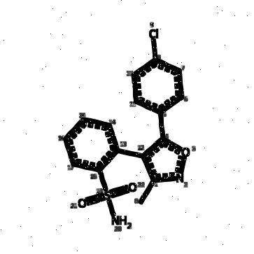 Cc1noc(-c2ccc(Cl)cc2)c1-c1ccccc1S(N)(=O)=O